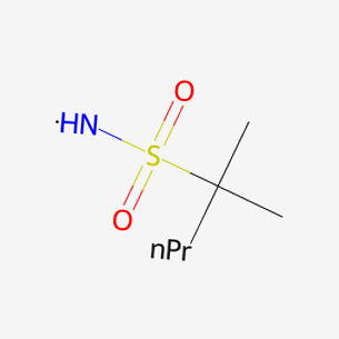 CCCC(C)(C)S([NH])(=O)=O